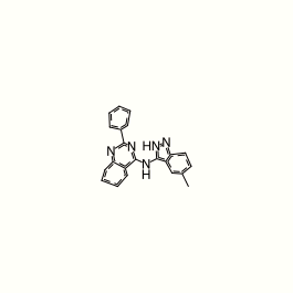 Cc1ccc2n[nH]c(Nc3nc(-c4ccccc4)nc4ccccc34)c2c1